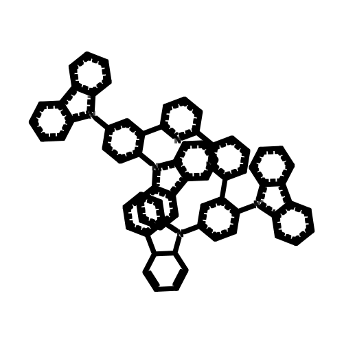 C1=CC2c3ccccc3N(c3ccc(-n4c5ccccc5c5ccccc54)c(-c4cccc(-c5cccc(-c6cc(-n7c8ccccc8c8ccccc87)ccc6-n6c7ccccc7c7ccccc76)n5)n4)c3)C2C=C1